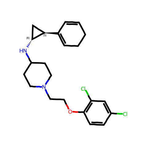 Clc1ccc(OCCN2CCC(N[C@@H]3C[C@H]3C3=CCCC=C3)CC2)c(Cl)c1